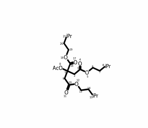 CC(=O)OC(CC(=O)OCCC(C)C)(CC(=O)OCCC(C)C)C(=O)OCCC(C)C